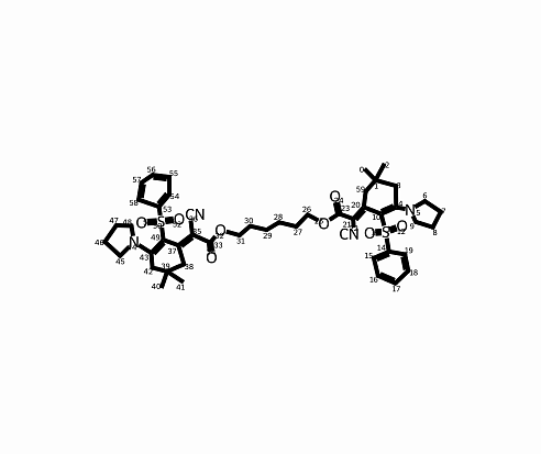 CC1(C)CC(N2CCCC2)=C(S(=O)(=O)c2ccccc2)/C(=C(\C#N)C(=O)OCCCCCCOC(=O)/C(C#N)=C2\CC(C)(C)CC(N3CCCC3)=C2S(=O)(=O)c2ccccc2)C1